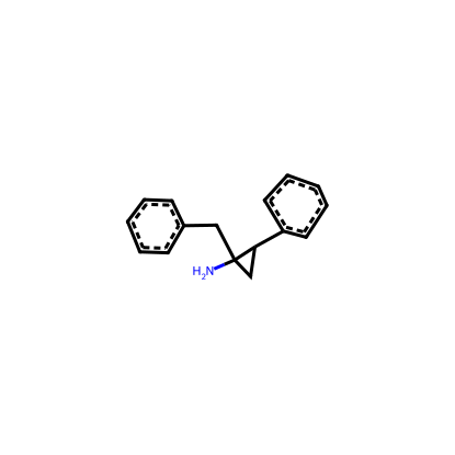 NC1(Cc2ccccc2)CC1c1ccccc1